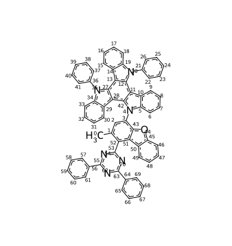 Cc1cc(-n2c3ccccc3c3c4c(c5ccccc5n4-c4ccccc4)c4c(c5ccccc5n4-c4ccccc4)c32)c2oc3ccccc3c2c1-c1nc(-c2ccccc2)nc(-c2ccccc2)n1